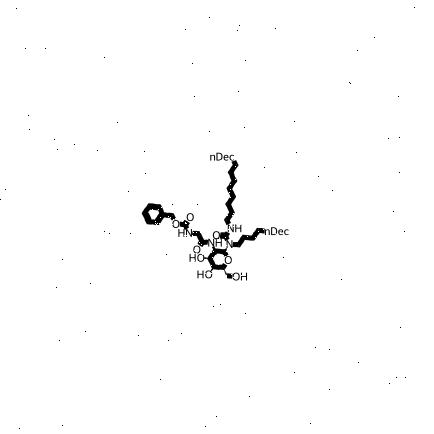 CCCCCCCCCCCCCCCCCCNC(=O)N(CCCCCCCCCCCCCC)[C@@H]1O[C@H](CO)[C@H](O)[C@H](O)[C@H]1NC(=O)CNC(=O)OCc1ccccc1